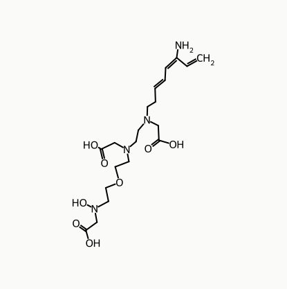 C=C/C(N)=C\C=C\CCN(CCN(CCOCCN(O)CC(=O)O)CC(=O)O)CC(=O)O